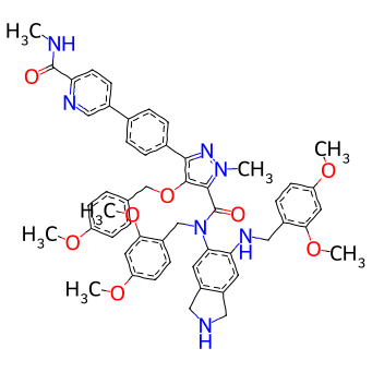 CNC(=O)c1ccc(-c2ccc(-c3nn(C)c(C(=O)N(Cc4ccc(OC)cc4OC)c4cc5c(cc4NCc4ccc(OC)cc4OC)CNC5)c3OCc3ccc(OC)cc3)cc2)cn1